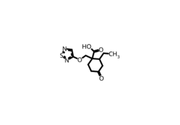 CCC1CC(=O)CCC1(COc1cnsn1)C(=O)O